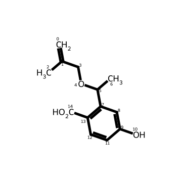 C=C(C)COC(C)c1cc(O)ccc1C(=O)O